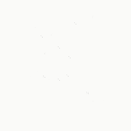 C=CC(=O)N1CCC(n2ncc3c([SH]4C(C(N)=O)=CC=C4[N+](=O)[O-])nc(-c4ccc(F)nc4)nc32)C1